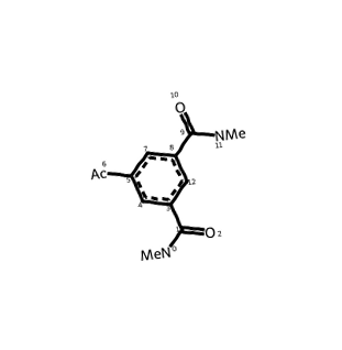 CNC(=O)c1cc(C(C)=O)cc(C(=O)NC)c1